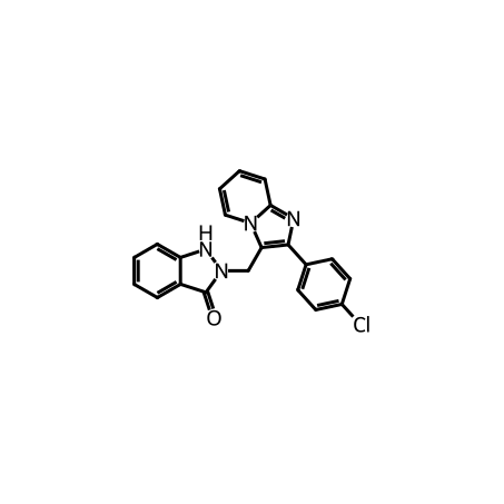 O=c1c2ccccc2[nH]n1Cc1c(-c2ccc(Cl)cc2)nc2ccccn12